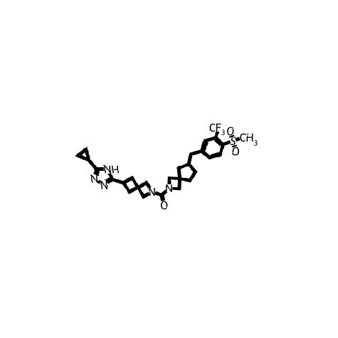 CS(=O)(=O)c1ccc(CC2CCC3(C2)CN(C(=O)N2CC4(CC(c5nnc(C6CC6)[nH]5)C4)C2)C3)cc1C(F)(F)F